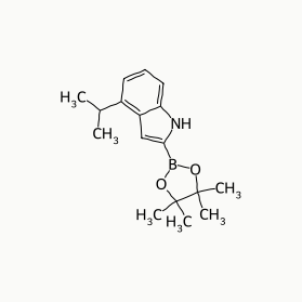 CC(C)c1cccc2[nH]c(B3OC(C)(C)C(C)(C)O3)cc12